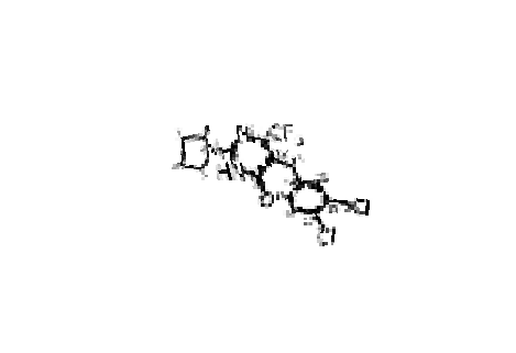 O=c1[nH]c(N2CCCC2)nc(C(F)(F)F)c1Cc1ccc(Cl)c(Cl)c1